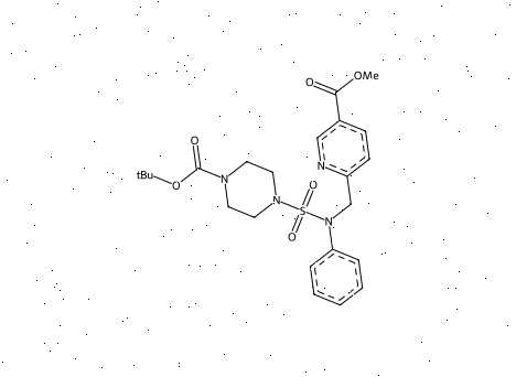 COC(=O)c1ccc(CN(c2ccccc2)S(=O)(=O)N2CCN(C(=O)OC(C)(C)C)CC2)nc1